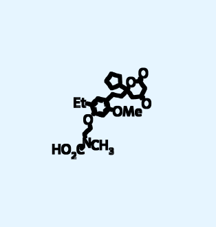 CCc1cc(CCC2(C3CCCC3)CC(=O)CC(=O)O2)c(OC)cc1OCCN(C)C(=O)O